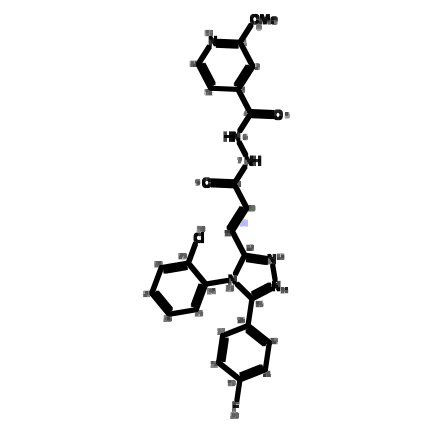 COc1cc(C(=O)NNC(=O)/C=C/c2nnc(-c3ccc(F)cc3)n2-c2ccccc2Cl)ccn1